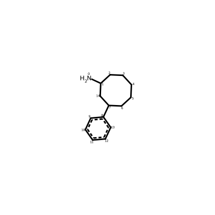 NC1CCCCCC(c2ccccc2)C1